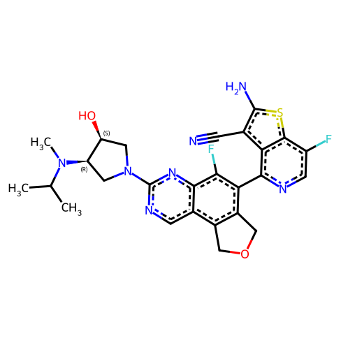 CC(C)N(C)[C@@H]1CN(c2ncc3c4c(c(-c5ncc(F)c6sc(N)c(C#N)c56)c(F)c3n2)COC4)C[C@@H]1O